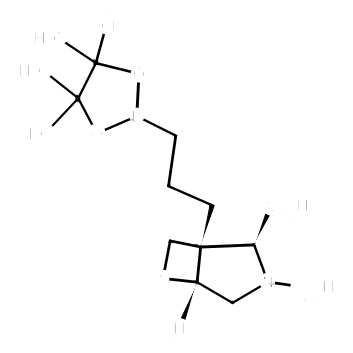 CC1(C)OB(CCC[C@]23CS[C@H]2CN(C(=O)O)[C@@H]3C(=O)O)OC1(C)C